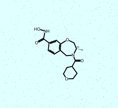 C[C@H]1COc2cc(C(=O)NO)ccc2CN1C(=O)C1CCOCC1